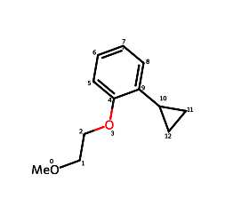 COCCOc1cc[c]cc1C1CC1